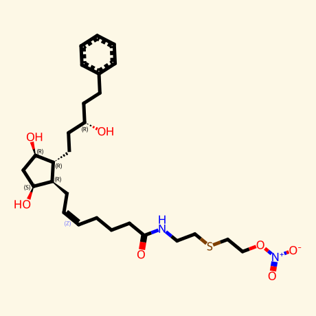 O=C(CCC/C=C\C[C@@H]1[C@@H](CC[C@@H](O)CCc2ccccc2)[C@H](O)C[C@@H]1O)NCCSCCO[N+](=O)[O-]